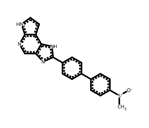 C[S+]([O-])c1ccc(-c2ccc(-c3nc4cnc5[nH]ccc5c4[nH]3)cc2)cc1